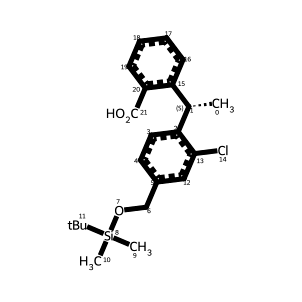 C[C@H](c1ccc(CO[Si](C)(C)C(C)(C)C)cc1Cl)c1ccccc1C(=O)O